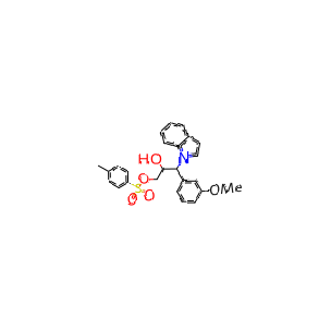 COc1cccc(C(C(O)COS(=O)(=O)c2ccc(C)cc2)n2ccc3ccccc32)c1